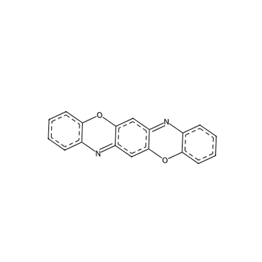 c1ccc2c(c1)N=c1cc3c(cc1O2)=Nc1ccccc1O3